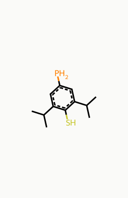 CC(C)c1cc(P)cc(C(C)C)c1S